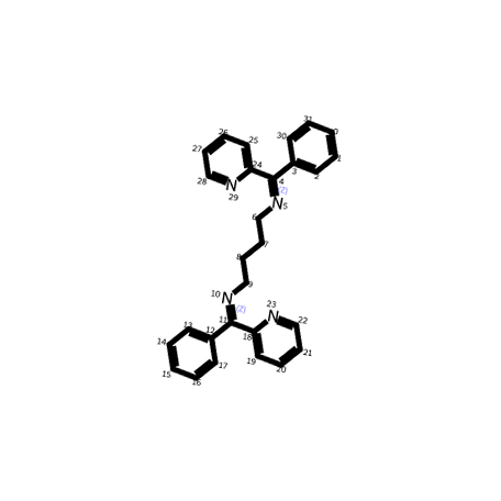 c1ccc(/C(=N/CCCC/N=C(/c2ccccc2)c2ccccn2)c2ccccn2)cc1